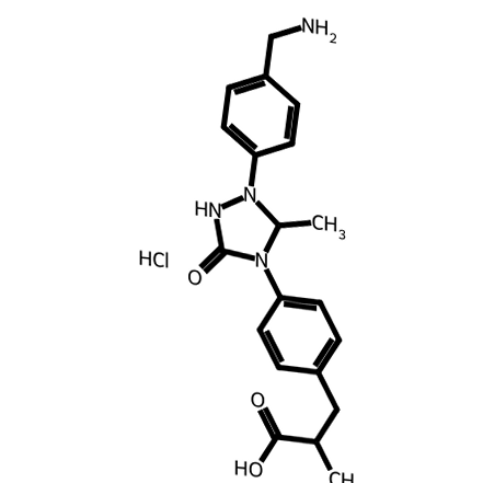 CC(Cc1ccc(N2C(=O)NN(c3ccc(CN)cc3)C2C)cc1)C(=O)O.Cl